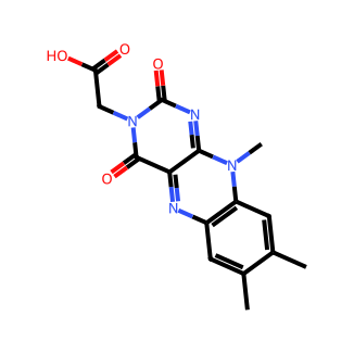 Cc1cc2nc3c(=O)n(CC(=O)O)c(=O)nc-3n(C)c2cc1C